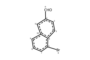 O=Cc1ccc2c(Br)cccc2c1